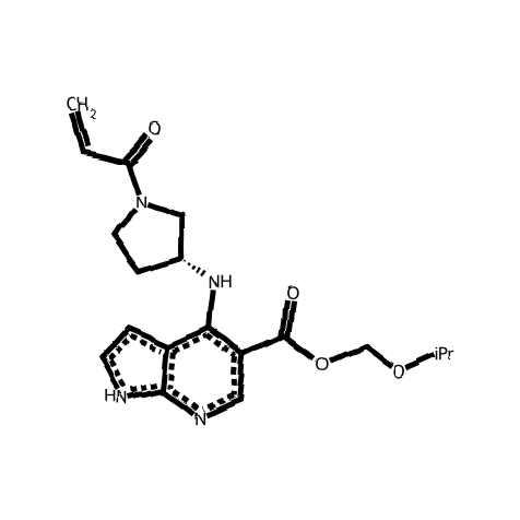 C=CC(=O)N1CC[C@@H](Nc2c(C(=O)OCOC(C)C)cnc3[nH]ccc23)C1